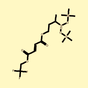 CC(CCOC(=O)C=CC(=O)OCC(F)(F)F)[SiH](O[Si](C)(C)C)O[Si](C)(C)C